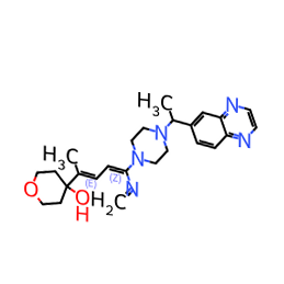 C=N/C(=C\C=C(/C)C1(O)CCOCC1)N1CCN(C(C)c2ccc3nccnc3c2)CC1